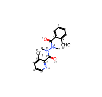 CN(C(=O)c1ccccc1C=O)N(C)C(=O)c1ncccc1C(F)(F)F